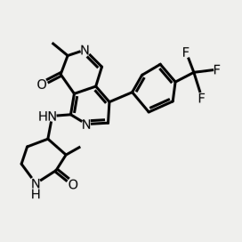 CC1N=Cc2c(-c3ccc(C(F)(F)F)cc3)cnc(NC3CCNC(=O)C3C)c2C1=O